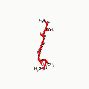 CCCCCCC(C/C=C\CCCCCCCC(=O)OCCOCCOCCOCCOCCOC(=O)CCCCCCC/C=C\CCC(CCCCCC)OC(=O)CCCCCC/C=C\CCC(CCCCCC)OC(=O)CCCCCCC/C=C\CC(O)CCCCC)OC(=O)CCCCCCC/C=C\CC(CCCCCC)OC(=O)CCCCCCC/C=C\CC(O)CCCCC